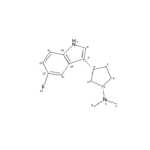 CN(C)C1CC[C@@H](c2c[nH]c3ccc(F)cc23)C1